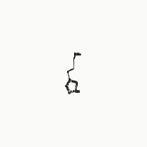 CNCCCc1cn[nH]c1